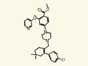 COC(=O)c1ccc(N2CCN(CC3=C(c4ccc(Cl)cc4)CC(C)(C)CC3)CC2)cc1Oc1cccnc1